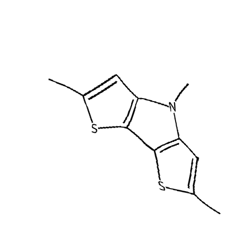 Cc1cc2c(s1)c1sc(C)cc1n2C